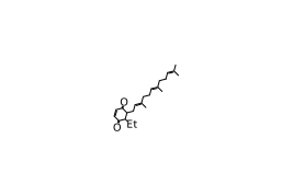 CCC1C(=O)C=CC(=O)C1C/C=C(\C)CC/C=C(\C)CCC=C(C)C